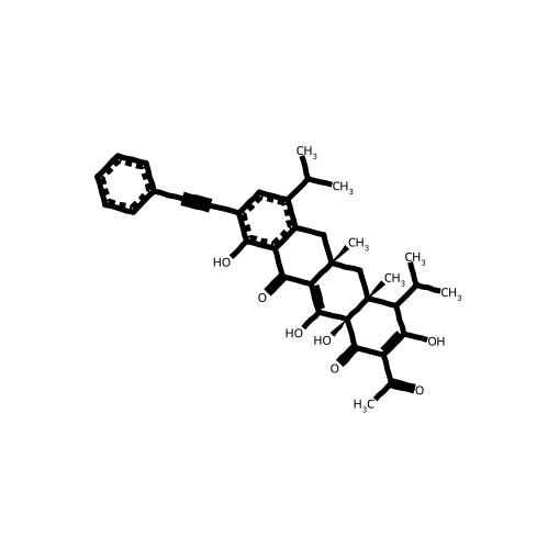 CC(=O)C1=C(O)C(C(C)C)[C@@]2(C)C[C@@]3(C)Cc4c(C(C)C)cc(C#Cc5ccccc5)c(O)c4C(=O)C3=C(O)[C@@]2(O)C1=O